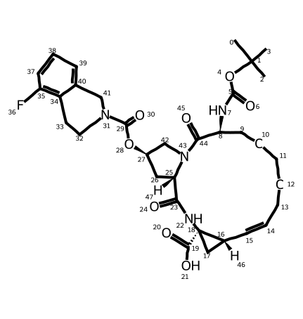 CC(C)(C)OC(=O)N[C@H]1CCCCCC=C[C@@H]2C[C@@]2(C(=O)O)NC(=O)[C@@H]2C[C@@H](OC(=O)N3CCc4c(F)cccc4C3)CN2C1=O